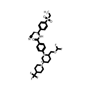 CCS(=O)(=O)c1ccc([C@H](CC#N)NC(=O)c2ccc(N3C[C@H](N4CCC(C(F)(F)F)CC4)CCC3COC(F)F)cc2)cc1